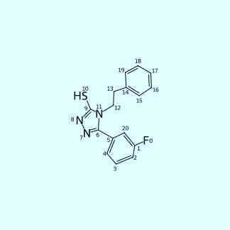 Fc1cccc(-c2nnc(S)n2CCc2ccccc2)c1